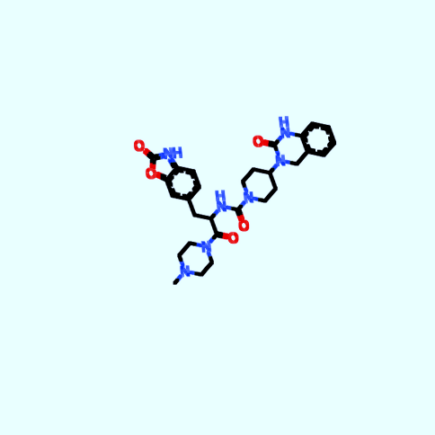 CN1CCN(C(=O)C(Cc2ccc3[nH]c(=O)oc3c2)NC(=O)N2CCC(N3Cc4ccccc4NC3=O)CC2)CC1